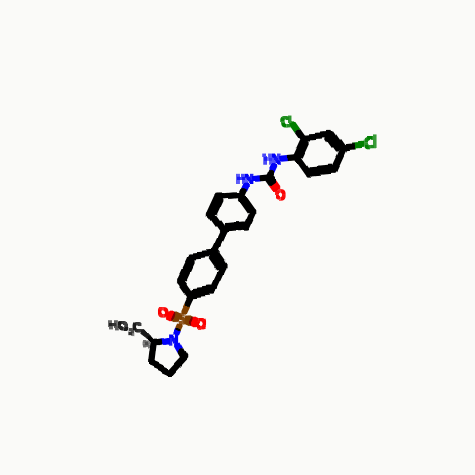 O=C(Nc1ccc(-c2ccc(S(=O)(=O)N3CCC[C@H]3C(=O)O)cc2)cc1)Nc1ccc(Cl)cc1Cl